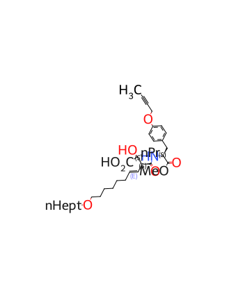 CC#CCOc1ccc(C[C@H](NC(=O)[C@@H](/C=C/CCCCCCOCCCCCCC)[C@@](O)(CCC)C(=O)O)C(=O)OC)cc1